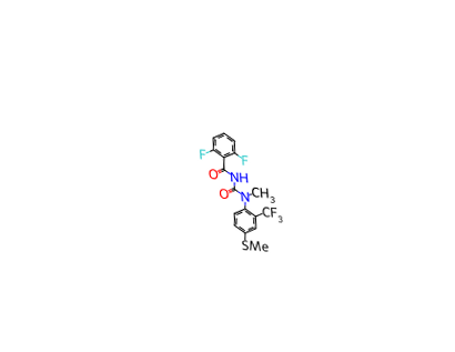 CSc1ccc(N(C)C(=O)NC(=O)c2c(F)cccc2F)c(C(F)(F)F)c1